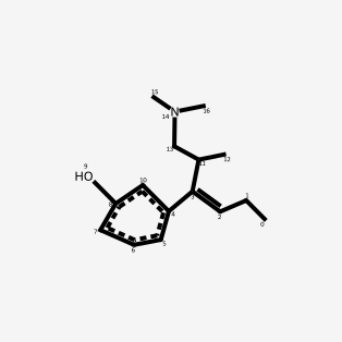 CCC=C(c1cccc(O)c1)C(C)CN(C)C